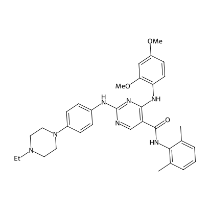 CCN1CCN(c2ccc(Nc3ncc(C(=O)Nc4c(C)cccc4C)c(Nc4ccc(OC)cc4OC)n3)cc2)CC1